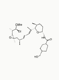 CC[C@H](OC)[C@@H](C)[C@H]1O[C@]1(C)C[C@H](C)/C=C/C=C(\C)[C@H]1O[C@@H](CNC(=O)C2CCC(CO)CC2)CC[C@@H]1C